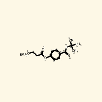 CCOC(=O)CCC(=O)Oc1ccc(C(=S)SC(C)(C)C#N)cc1